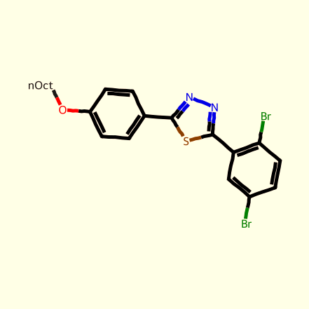 CCCCCCCCOc1ccc(-c2nnc(-c3cc(Br)ccc3Br)s2)cc1